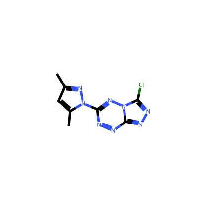 Cc1cc(C)n(-c2nnc3nnc(Cl)n3n2)n1